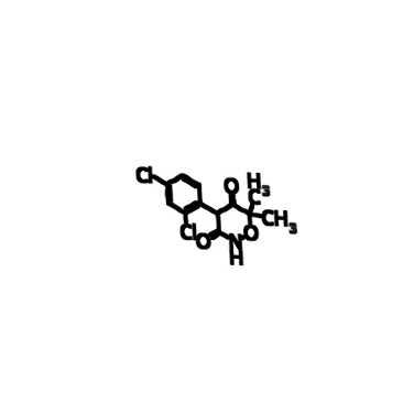 CC1(C)ONC(=O)C(c2ccc(Cl)cc2Cl)C1=O